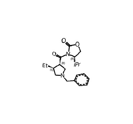 CC[C@@H]1CN(Cc2ccccc2)C[C@@H]1C(=O)N1C(=O)OC[C@H]1C(C)C